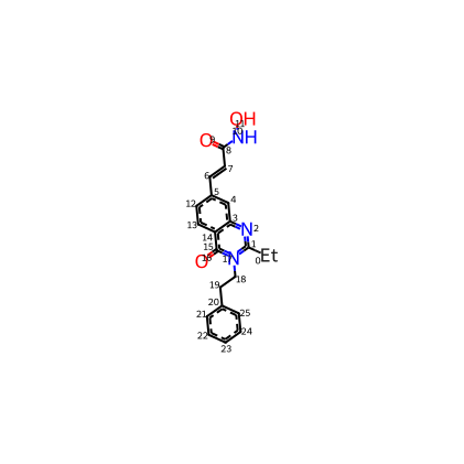 CCc1nc2cc(C=CC(=O)NO)ccc2c(=O)n1CCc1ccccc1